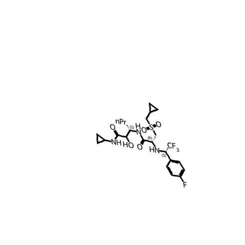 CCC[C@H](NC(=O)[C@H](CS(=O)(=O)CC1CC1)N[C@@H](c1ccc(F)cc1)C(F)(F)F)C(O)C(=O)NC1CC1